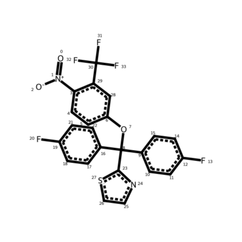 O=[N+]([O-])c1ccc(OC(c2ccc(F)cc2)(c2ccc(F)cc2)c2nccs2)cc1C(F)(F)F